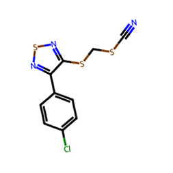 N#CSCSc1nsnc1-c1ccc(Cl)cc1